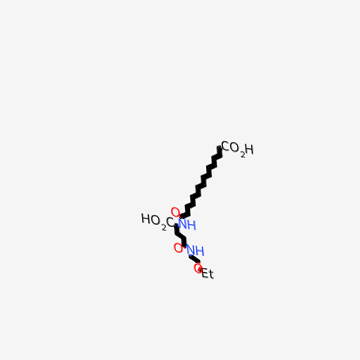 CCOCCNC(=O)CCC(NC(=O)CCCCCCCCCCCCCCC(=O)O)C(=O)O